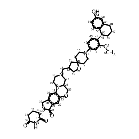 COc1cc(N2CCC3(CC2)CC(CN2CCN4c5cc6c(cc5OCC4C2)C(=O)N([C@H]2CCC(=O)NC2=O)C6)CO3)ccc1[C@@H]1CCCc2cc(O)ccc21